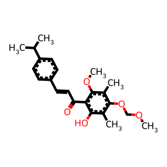 COCOc1c(C)c(O)c(C(=O)C=Cc2ccc(C(C)C)cc2)c(OC)c1C